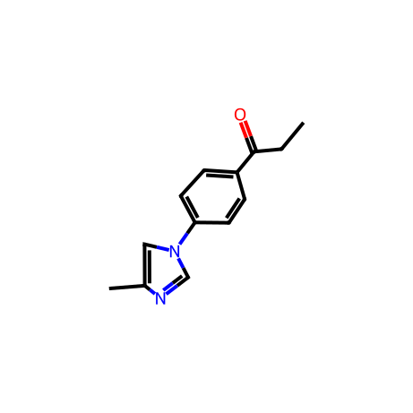 CCC(=O)c1ccc(-n2cnc(C)c2)cc1